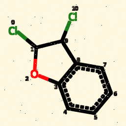 ClC1Oc2ccccc2C1Cl